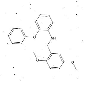 COc1ccc(OC)c(CNc2ccccc2Oc2ccccc2)c1